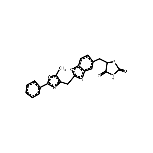 Cc1oc(-c2ccccc2)nc1Cc1nc2cc(CC3SC(=O)NC3=O)ccc2o1